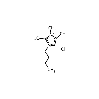 CCCCn1cc(C)[n+](C)c1C.[Cl-]